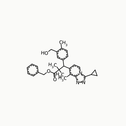 Cc1ccc(C(c2ccn3c(C4CC4)nnc3c2C)C(C)(C)C(=O)OCc2ccccc2)cc1CO